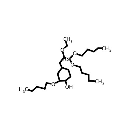 CCCCCOC1CC(CC(OCC)[SiH](OCCCCC)OCCCCC)CCC1O